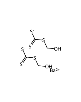 OCSC(=S)[S-].OCSC(=S)[S-].[Ba+2]